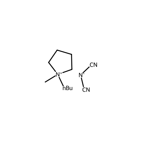 CCCC[N+]1(C)CCCC1.N#C[N-]C#N